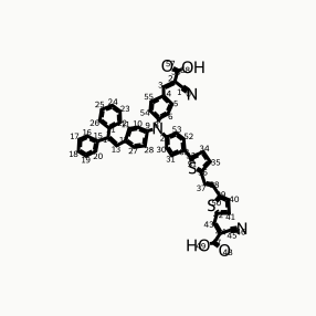 N#C/C(=C\c1ccc(N(c2ccc(C=C(c3ccccc3)c3ccccc3)cc2)c2ccc(-c3ccc(/C=C/c4ccc(/C=C(\C#N)C(=O)O)s4)s3)cc2)cc1)C(=O)O